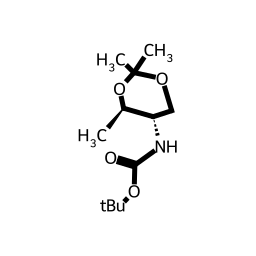 C[C@H]1OC(C)(C)OC[C@@H]1NC(=O)OC(C)(C)C